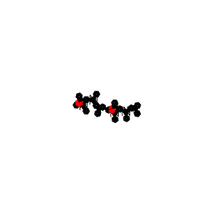 c1ccc(-c2nc(-c3ccc(-n4c5ccccc5c5ccccc54)c(-c4nc(-c5ccccc5)nc(-c5ccccc5)n4)c3)nc(-c3ccc4c(c3)c3ccc(-c5ccc(-c6nc(-c7ccccc7)nc(-c7cc(-c8nc(-c9ccccc9)nc(-c9ccc%10c%11ccccc%11n(-c%11ccccc%11)c%10c9)n8)ccc7-n7c8ccccc8c8ccccc87)n6)cc5)cc3n4-c3ccccc3)n2)cc1